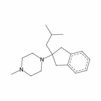 CC(C)CC1(N2CCN(C)CC2)Cc2ccccc2C1